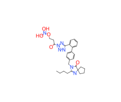 CCCCC1=NC2(CCCC2)C(=O)N1Cc1ccc(-c2ccccc2-c2nnn(C(=O)CCON(O)O)n2)cc1